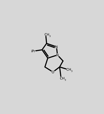 Cc1nn2c(c1C(C)C)COC(C)(C)C2